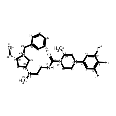 C[C@@H]1CN(c2cc(F)c(F)c(F)c2)CCN1C(=O)NCCN(C)[C@@H]1C[C@H](CO)N(Cc2ccccc2)C1